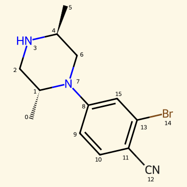 C[C@@H]1CN[C@@H](C)CN1c1ccc(C#N)c(Br)c1